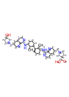 Cc1c(Nc2nccc3cc(CN4CC[C@H](O)C4)cnc23)cccc1-c1cccc(Nc2nccc3cc(CN4CC[C@H](C(=O)O)C4)cnc23)c1C